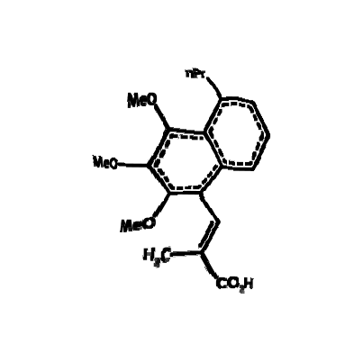 CCCc1cccc2c(C=C(C)C(=O)O)c(OC)c(OC)c(OC)c12